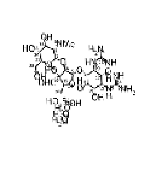 CN[C@@H]1[C@H](O[C@H]2[C@H](O[C@H]3[C@H](O)[C@@H](O)[C@H](NC(=N)N)[C@@H](O)[C@@H]3NC(=N)N)O[C@@H](C)[C@]2(O)C=O)O[C@@H](CO)[C@H](O)[C@H]1O.O.O.O.O=S(=O)(O)O